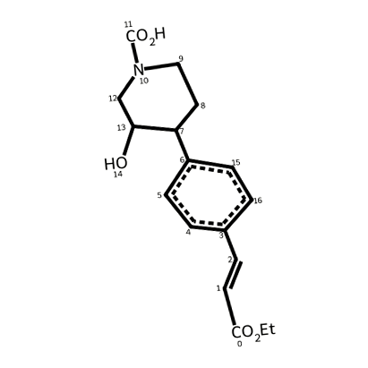 CCOC(=O)/C=C/c1ccc(C2CCN(C(=O)O)CC2O)cc1